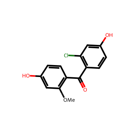 COc1cc(O)ccc1C(=O)c1ccc(O)cc1Cl